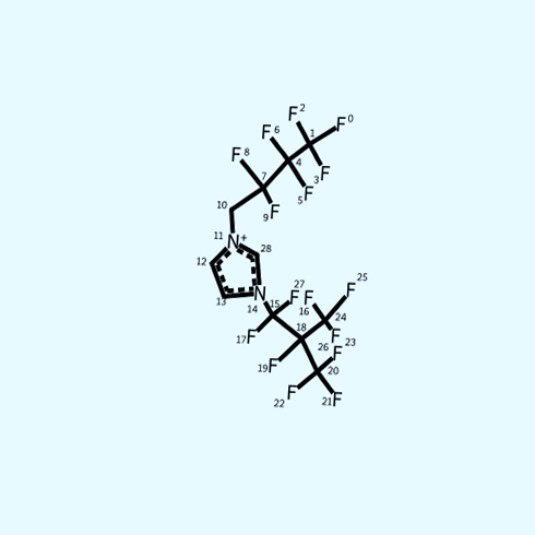 FC(F)(F)C(F)(F)C(F)(F)C[n+]1ccn(C(F)(F)C(F)(C(F)(F)F)C(F)(F)F)c1